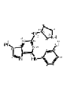 CC(C)n1cnc2c(Nc3cccc(Cl)c3)nc(N[C@H]3CCNC3)nc21